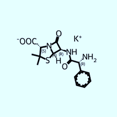 CC1(C)S[C@@H]2[C@H](NC(=O)[C@H](N)c3ccccc3)C(=O)N2[C@H]1C(=O)[O-].[K+]